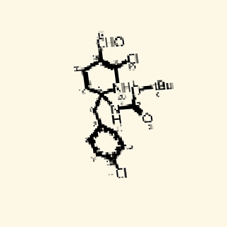 CC(C)(C)OC(=O)NC1(Cc2ccc(Cl)cc2)C=CC(C=O)=C(Cl)N1